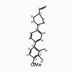 C=CC1CCC(c2ccc(-c3ccc(OC)c(C)c3C)cc2)CC1